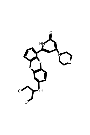 O=c1cc(N2CCOCC2)cc(-c2cccc3c2Sc2ccc(NC(CO)CCl)cc2S3)[nH]1